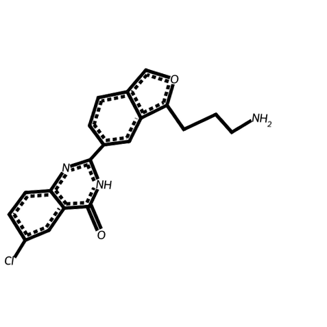 NCCCc1occ2ccc(-c3nc4ccc(Cl)cc4c(=O)[nH]3)cc12